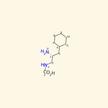 N[C@@H](CNC(=O)O)CC1CCCCC1